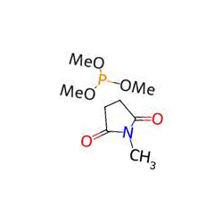 CN1C(=O)CCC1=O.COP(OC)OC